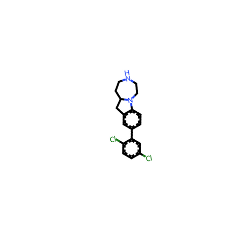 Clc1ccc(Cl)c(-c2ccc3c(c2)CC2CCNCCN32)c1